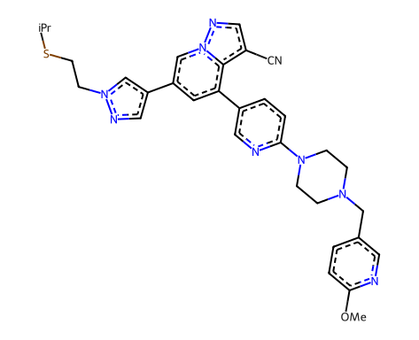 COc1ccc(CN2CCN(c3ccc(-c4cc(-c5cnn(CCSC(C)C)c5)cn5ncc(C#N)c45)cn3)CC2)cn1